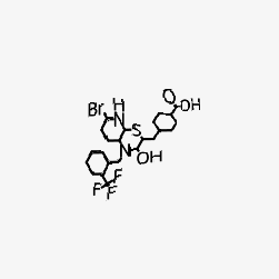 O=C(O)C1CCC(CC2SC3NC(Br)CCC3N(CC3CCCCC3C(F)(F)F)C2O)CC1